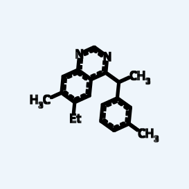 CCc1cc2c(C(C)c3cccc(C)c3)ncnc2cc1C